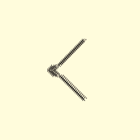 Cl.Cl.Cl.Cl.Cl.Cl.Cl.Cl.[K+].[K+].[K+].[K+].[K+].[K+].[K+].[K+].[K+].[K+].[K+].[K+].[K+].[K+].[K+].[K+].[K+].[K+].[K+].[K+].[K+].[K+].[K+].[K+].[K+].[K+].[K+].[K+].[K+].[K+].[K+].[K+].[K+].[K+].[K+].[K+].[K+].[K+].[K+]